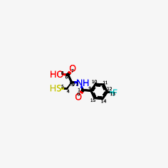 O=C(N[C@@H](CS)C(=O)O)c1ccc(F)cc1